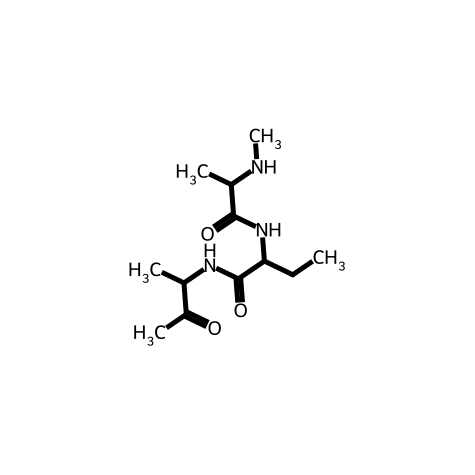 CCC(NC(=O)C(C)NC)C(=O)NC(C)C(C)=O